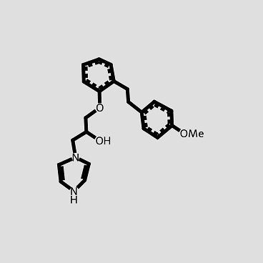 COc1ccc(CCc2ccccc2OCC(O)CN2C=CNC=C2)cc1